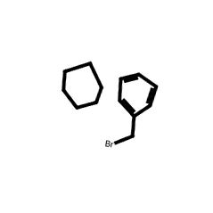 BrCc1ccccc1.C1CCCCC1